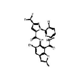 CNC(=O)c1c(NC(=O)c2cc(C(F)F)nn2-c2ncccc2Cl)c(Br)cc2c1OC(C)C2